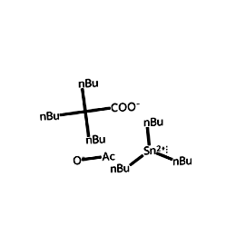 CC(=O)[O-].CCCCC(CCCC)(CCCC)C(=O)[O-].CCC[CH2][Sn+2]([CH2]CCC)[CH2]CCC